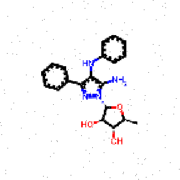 C[C@@H]1O[C@@H](n2nc(-c3ccccc3)c(Nc3ccccc3)c2N)[C@H](O)[C@@H]1O